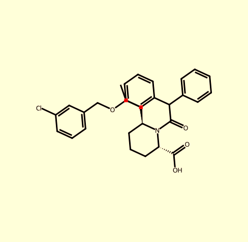 CC(C[C@@H]1CCC[C@@H](C(=O)O)N1C(=O)C(c1ccccc1)c1ccccc1)OCc1cccc(Cl)c1